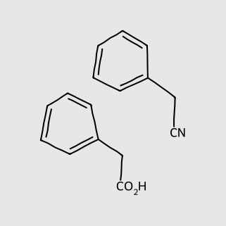 N#CCc1ccccc1.O=C(O)Cc1ccccc1